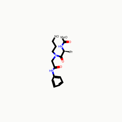 COC(=O)N[C@H](C(=O)N(CCCN=O)CC(=O)Nc1ccccc1)C(C)C